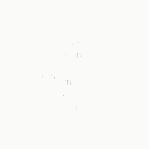 CCCC1CCN(c2cc(-n3cc(Br)ccc3=O)ccc2[N+](=O)[O-])CC1